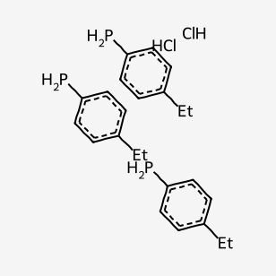 CCc1ccc(P)cc1.CCc1ccc(P)cc1.CCc1ccc(P)cc1.Cl.Cl